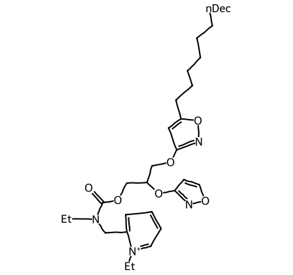 CCCCCCCCCCCCCCCCc1cc(OCC(COC(=O)N(CC)Cc2cccc[n+]2CC)Oc2ccon2)no1